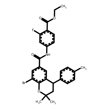 CCOC(=O)c1ccc(NC(=O)c2cc(Br)c3c(c2)C(c2ccc(C)cc2)CC(C)(C)O3)cc1F